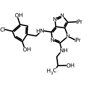 CC(O)CNc1nc(NCc2cc(O)c(Cl)cc2O)c2nnc(C(C)C)c-2n1C(C)C